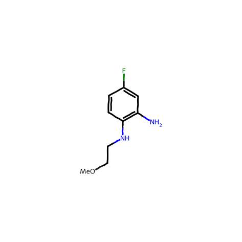 COCCNc1ccc(F)cc1N